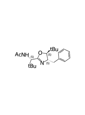 CC(=O)N[C@H](C1=N[C@@H](Cc2ccccc2)[C@H](C(C)(C)C)O1)C(C)(C)C